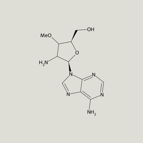 COC1C(N)[C@H](n2cnc3c(N)ncnc32)O[C@@H]1CO